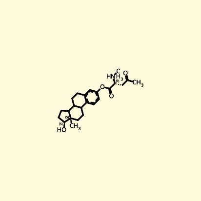 CN[C@H](CC(C)=O)C(=O)Oc1ccc2c(c1)CCC1C2CC[C@@]2(C)C1CC[C@@H]2O